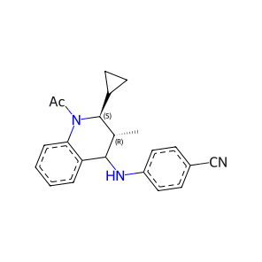 CC(=O)N1c2ccccc2C(Nc2ccc(C#N)cc2)[C@@H](C)[C@@H]1C1CC1